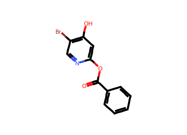 O=C(Oc1cc(O)c(Br)cn1)c1ccccc1